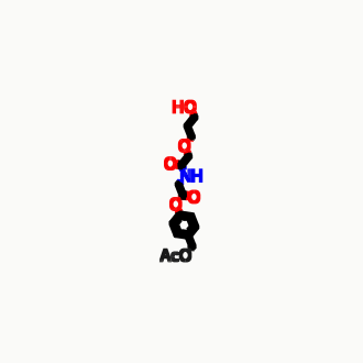 CC(=O)OCc1ccc(OC(=O)CNC(=O)COCCCO)cc1